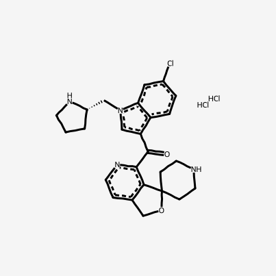 Cl.Cl.O=C(c1nccc2c1C1(CCNCC1)OC2)c1cn(C[C@@H]2CCCN2)c2cc(Cl)ccc12